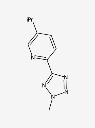 CC(C)c1ccc(-c2nnn(C)n2)nc1